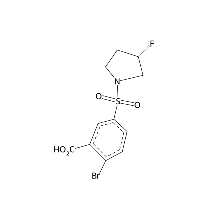 O=C(O)c1cc(S(=O)(=O)N2CC[C@H](F)C2)ccc1Br